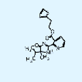 CC(C)C1(C)NC(c2ncccc2C(=O)OCCc2cccs2)=NC1=O